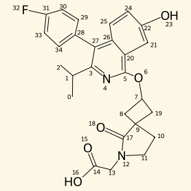 CC(C)c1nc(OC2CC3(CCN(CC(=O)O)C3=O)C2)c2cc(O)ccc2c1-c1ccc(F)cc1